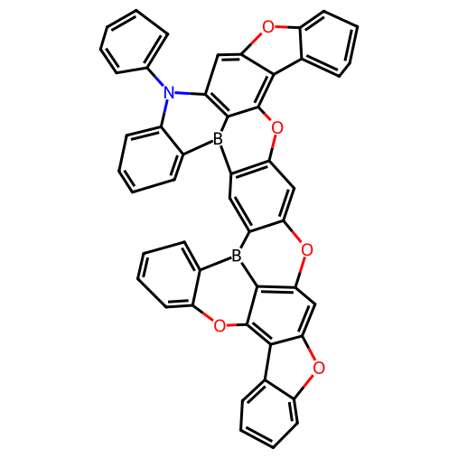 c1ccc(N2c3ccccc3B3c4cc5c(cc4Oc4c3c2cc2oc3ccccc3c42)Oc2cc3oc4ccccc4c3c3c2B5c2ccccc2O3)cc1